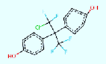 Oc1ccc(C(c2ccc(O)cc2)(C(F)(F)F)C(F)(F)Cl)cc1